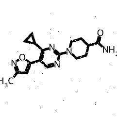 Cc1cc(-c2cnc(N3CCC(C(N)=O)CC3)nc2C2CC2)on1